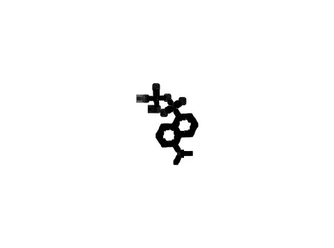 CN(C)c1cccc2c(S(=O)(=O)OP(=O)(O)O)cccc12